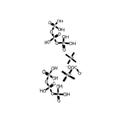 C[N+](C)(C)C.C[N+](C)(C)C.O=C([O-])[O-].O=P(O)(O)OP(=O)(O)OP(=O)(O)O.O=P(O)(O)OP(=O)(O)OP(=O)(O)O